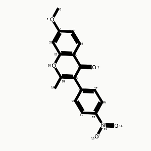 COc1ccc2c(=O)c(-c3ccc([N+](=O)[O-])cc3)c(C)oc2c1